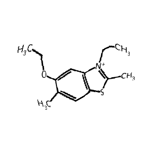 CCOc1cc2c(cc1C)sc(C)[n+]2CC